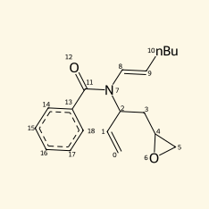 C=CC(CC1CO1)N(/C=C/CCCC)C(=O)c1ccccc1